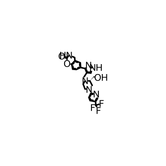 O=C1NCc2cc(-c3n[nH]cc3CN3CCN(c4ccc(C(F)(F)F)cn4)C[C@H]3CO)ccc2O1